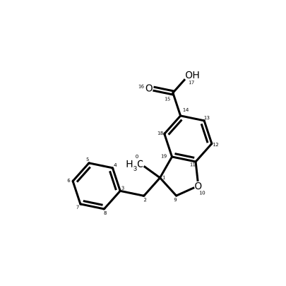 CC1(Cc2ccccc2)COc2ccc(C(=O)O)cc21